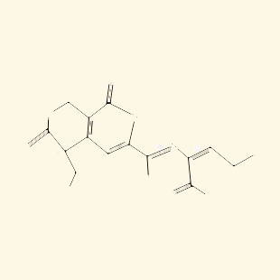 C=C(C)C(=C\CF)/N=C(\C)c1cc2c(c(=O)[nH]1)COC(=O)[C@]2(O)CC